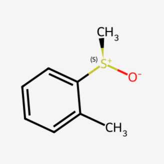 Cc1ccccc1[S@@+](C)[O-]